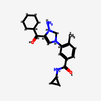 Cc1ccc(C(=O)NC2CC2)cc1N1C=C(C(=O)C2CCCCC2)N(N)C1